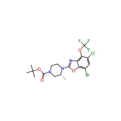 C[C@@H]1CN(C(=O)OC(C)(C)C)CCN1c1nc2c(OC(F)(F)F)c(Cl)cc(Br)c2o1